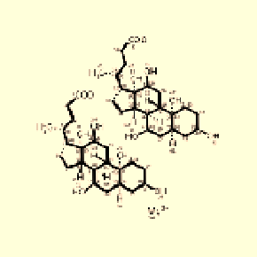 C[C@H](CCC(=O)[O-])[C@H]1CC[C@H]2[C@@H]3[C@H](O)C[C@@H]4C[C@H](O)CC[C@]4(C)[C@H]3C[C@H](O)[C@]12C.C[C@H](CCC(=O)[O-])[C@H]1CC[C@H]2[C@@H]3[C@H](O)C[C@@H]4C[C@H](O)CC[C@]4(C)[C@H]3C[C@H](O)[C@]12C.[Mg+2]